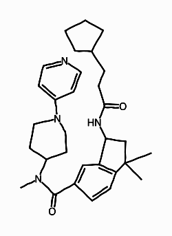 CN(C(=O)c1ccc2c(c1)C(NC(=O)CCC1CCCC1)CC2(C)C)C1CCN(c2ccncc2)CC1